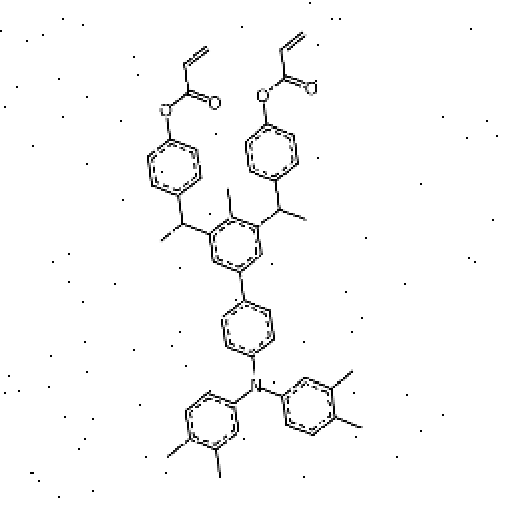 C=CC(=O)Oc1ccc(C(C)c2cc(-c3ccc(N(c4ccc(C)c(C)c4)c4ccc(C)c(C)c4)cc3)cc(C(C)c3ccc(OC(=O)C=C)cc3)c2C)cc1